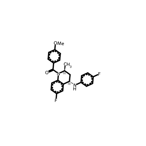 COc1ccc(C(=O)N2c3ccc(F)cc3[C@@H](Nc3ccc(F)cc3)C[C@@H]2C)cc1